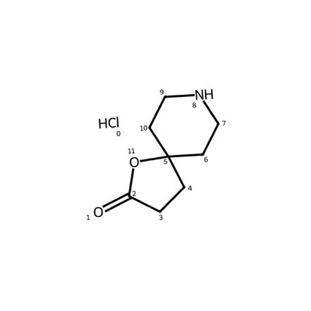 Cl.O=C1CCC2(CCNCC2)O1